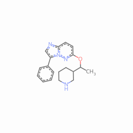 CC(Oc1ccc2ncc(-c3ccccc3)n2n1)C1CCCNC1